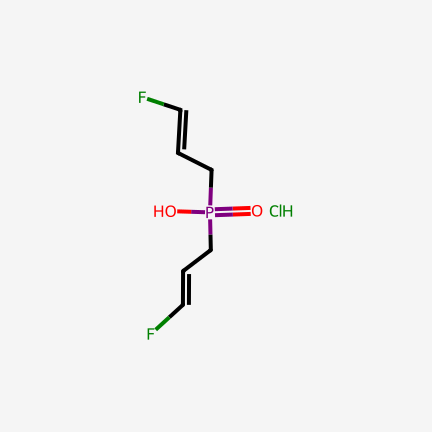 Cl.O=P(O)(CC=CF)CC=CF